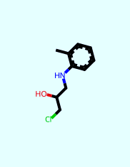 Cc1ccccc1NCC(O)CCl